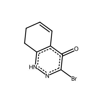 O=c1c(Br)n[nH]c2c1C=CCC2